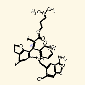 CN(C)CCCOC(=O)/C(I)=C(/c1c(NCc2cc3c(N)nsc3cc2Cl)cc(F)c2c1OCC2)c1ccc[nH]c1=O